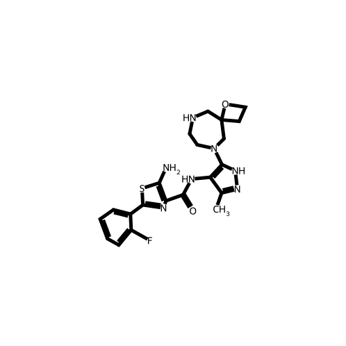 Cc1n[nH]c(N2CCNCC3(CCO3)C2)c1NC(=O)c1nc(-c2ccccc2F)sc1N